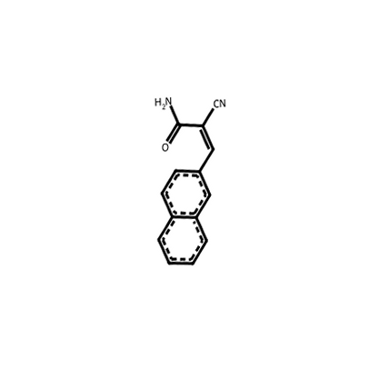 N#C/C(=C/c1ccc2ccccc2c1)C(N)=O